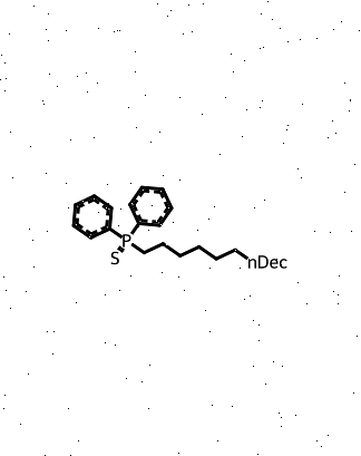 CCCCCCCCCCCCCCCCP(=S)(c1ccccc1)c1ccccc1